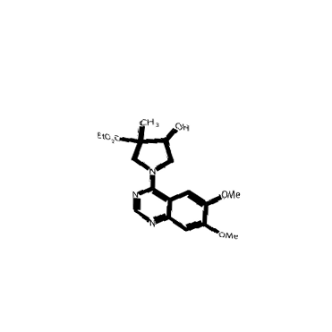 CCOC(=O)C1(C)CN(c2ncnc3cc(OC)c(OC)cc23)CC1O